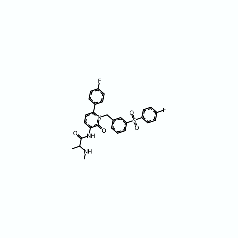 CNC(C)C(=O)Nc1ccc(-c2ccc(F)cc2)n(Cc2cccc(S(=O)(=O)c3ccc(F)cc3)c2)c1=O